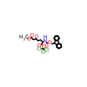 COC(=O)CC(=O)CCC(NC(=O)OCC1c2ccccc2-c2ccccc21)C(=O)OC(Cl)(Cl)Cl